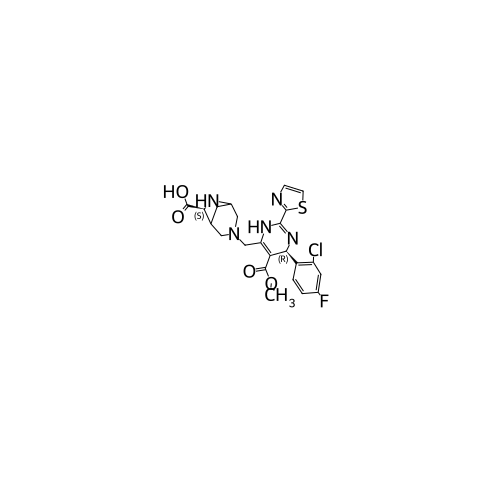 COC(=O)C1=C(CN2CC3CC(C2)[C@@H](C(=O)O)N3)NC(c2nccs2)=N[C@H]1c1ccc(F)cc1Cl